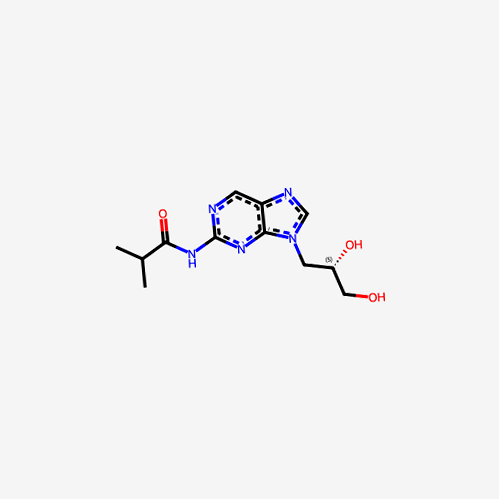 CC(C)C(=O)Nc1ncc2ncn(C[C@H](O)CO)c2n1